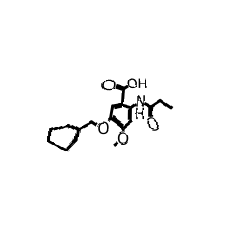 CCC(=O)Nc1cc(OC)c(OCC2CCCCC2)cc1C(=O)O